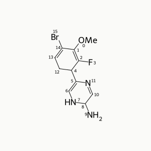 COC1=C(F)C(C2=CNC(N)C=N2)CC=C1Br